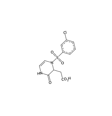 O=C(O)CC1C(=O)NC=CN1S(=O)(=O)c1cccc(Cl)c1